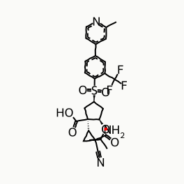 Cc1cc(-c2ccc(S(=O)(=O)[C@H]3C[C@@H](OC(C)C)[C@](C(=O)O)(C4CC4(C#N)C(N)=O)C3)c(C(F)(F)F)c2)ccn1